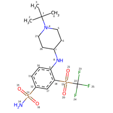 CC(C)(C)N1CCC(Nc2ccc(S(N)(=O)=O)cc2S(=O)(=O)C(F)(F)F)CC1